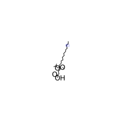 C/C=C/CCCCCCCCCCC(CCCC(=O)O)(OC)OC(C)C